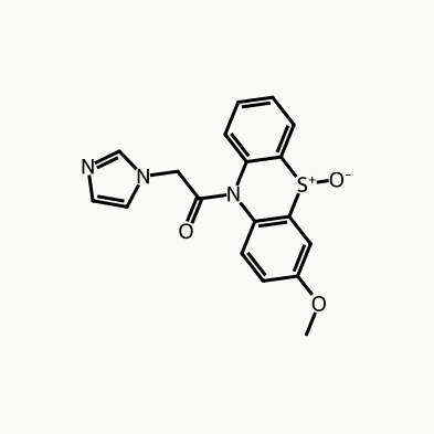 COc1ccc2c(c1)[S+]([O-])c1ccccc1N2C(=O)Cn1ccnc1